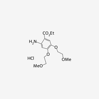 CCOC(=O)c1cc(OCCOC)c(OCCOC)cc1N.Cl